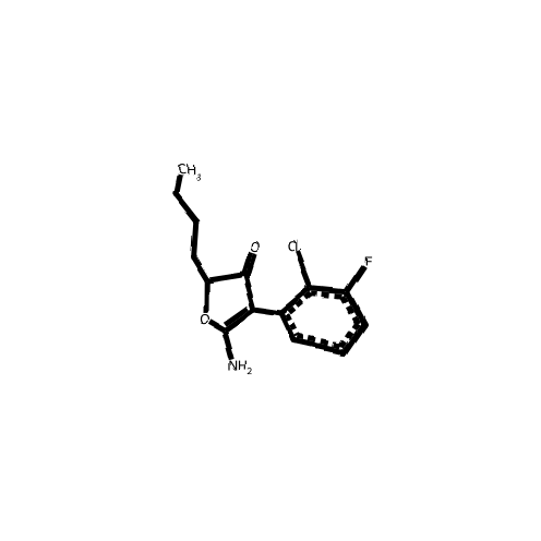 CCCCC1OC(N)=C(c2cccc(F)c2Cl)C1=O